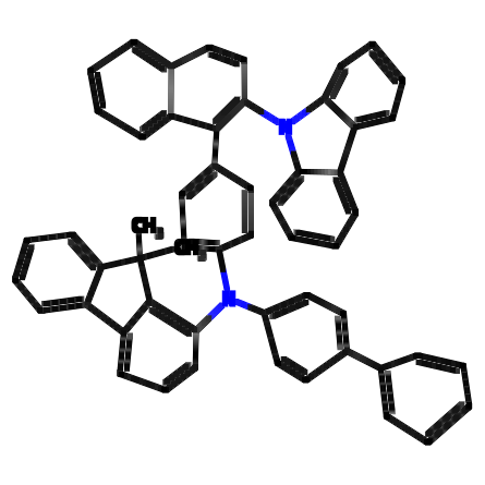 CC1(C)c2ccccc2-c2cccc(N(c3ccc(-c4ccccc4)cc3)c3ccc(-c4c(-n5c6ccccc6c6ccccc65)ccc5ccccc45)cc3)c21